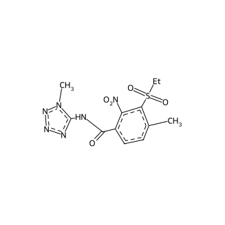 CCS(=O)(=O)c1c(C)ccc(C(=O)Nc2nnnn2C)c1[N+](=O)[O-]